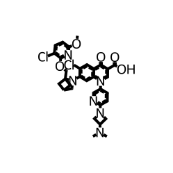 COc1ccc(Cl)c(OCC23CC(CN2c2cc4c(cc2Cl)c(=O)c(C(=O)O)cn4-c2ccc(N4CC(N(C)C)C4)nc2)C3)n1